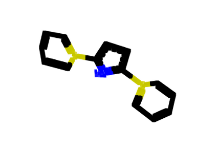 C1=CC=S(c2ccc(S3=CC=CC=C3)[nH]2)C=C1